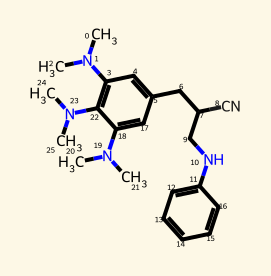 CN(C)c1cc(CC(C#N)CNc2ccccc2)cc(N(C)C)c1N(C)C